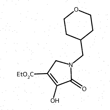 CCOC(=O)C1=C(O)C(=O)N(CC2CCOCC2)C1